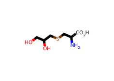 NC(CSCC(O)CO)C(=O)O